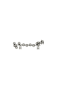 CC(=O)CNC(=O)C(C)NC(=O)CCOCCOCCOCCOCCNC(=O)CCN1C(=O)C=CC1=O